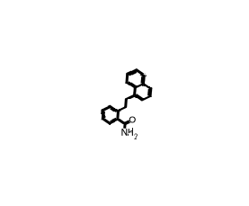 NC(=O)c1ccccc1CCc1cccc2ccccc12